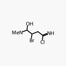 CNC(O)C(Br)CC(=N)Cl